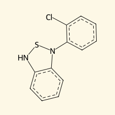 Clc1ccccc1N1SNc2ccccc21